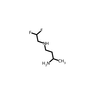 CC(N)CCNCC(F)F